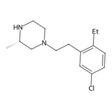 CCc1ccc(Cl)cc1CCN1CCN[C@@H](C)C1